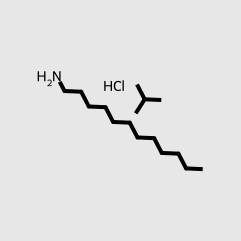 CC(C)C.CCCCCCCCCCCCN.Cl